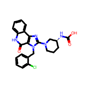 O=C(O)N[C@@H]1CCCN(c2nc3c4ccccc4[nH]c(=O)c3n2Cc2ccccc2Cl)C1